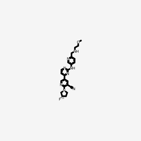 COCCNCc1ccc(Nc2nccc(-c3cnc(N4CC[C@H](F)C4)c(C#N)c3)n2)cn1